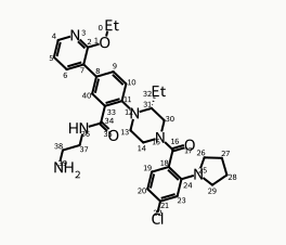 CCOc1ncccc1-c1ccc(N2CCN(C(=O)c3ccc(Cl)cc3N3CCCC3)C[C@H]2CC)c(C(=O)NCCN)c1